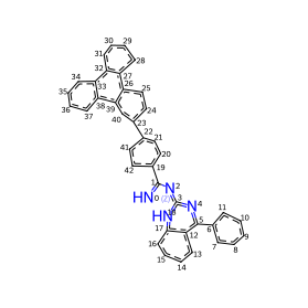 N=C(/N=c1/nc(-c2ccccc2)c2ccccc2[nH]1)c1ccc(-c2ccc3c4ccccc4c4ccccc4c3c2)cc1